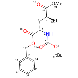 CC[C@@H](C[C@H](NC(=O)OC(C)(C)C)C(=O)OCc1ccccc1)C(=O)OC